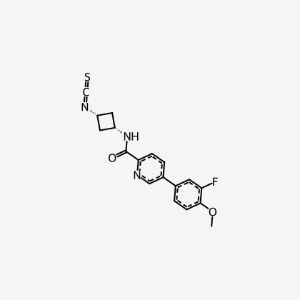 COc1ccc(-c2ccc(C(=O)N[C@H]3C[C@@H](N=C=S)C3)nc2)cc1F